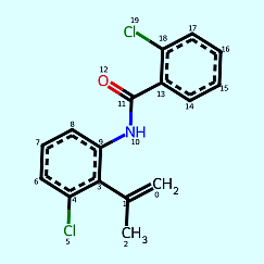 C=C(C)c1c(Cl)cccc1NC(=O)c1ccccc1Cl